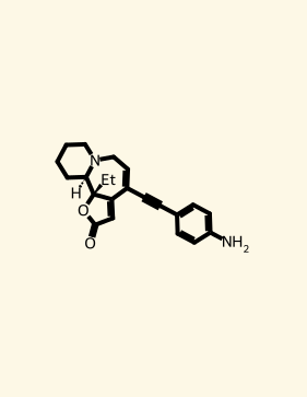 CC[C@]12OC(=O)C=C1C(C#Cc1ccc(N)cc1)=CCN1CCCC[C@@H]12